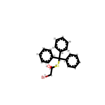 O=C(CBr)SC(c1ccccc1)(c1ccccc1)c1ccccc1